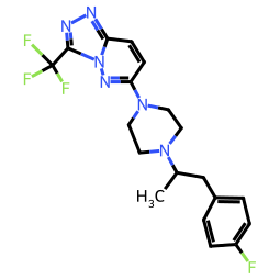 CC(Cc1ccc(F)cc1)N1CCN(c2ccc3nnc(C(F)(F)F)n3n2)CC1